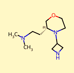 CN(C)CC[C@@H]1COCCN1C1CNC1